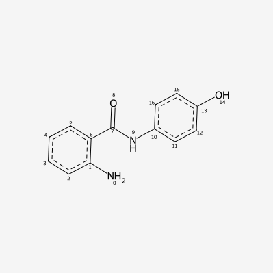 Nc1ccccc1C(=O)Nc1ccc(O)cc1